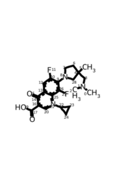 CN(C)CC1(C)CCN(c2c(F)cc3c(=O)c(C(=O)O)cn(C4CC4)c3c2F)C1